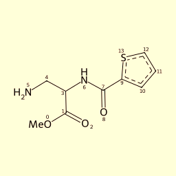 COC(=O)C(CN)NC(=O)c1cccs1